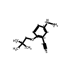 CC(C)(C)COc1ccc(NN)cc1C#N